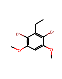 CCc1c(Br)c(OC)cc(OC)c1Br